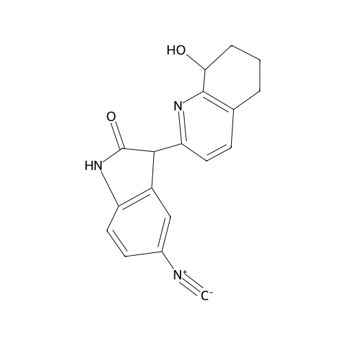 [C-]#[N+]c1ccc2c(c1)C(c1ccc3c(n1)C(O)CCC3)C(=O)N2